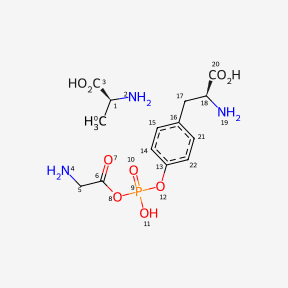 C[C@H](N)C(=O)O.NCC(=O)OP(=O)(O)Oc1ccc(C[C@H](N)C(=O)O)cc1